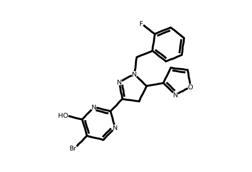 Oc1nc(C2=NN(Cc3ccccc3F)C(c3ccon3)C2)ncc1Br